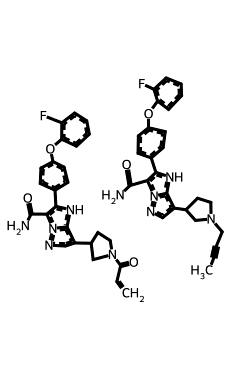 C=CC(=O)N1CCC(c2cnn3c(C(N)=O)c(-c4ccc(Oc5ccccc5F)cc4)[nH]c23)C1.CC#CCN1CCC(c2cnn3c(C(N)=O)c(-c4ccc(Oc5ccccc5F)cc4)[nH]c23)C1